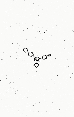 Brc1ccc(-c2cc(-c3ccc(C4C=CC=CC4)cc3)nc(-c3ccccc3)n2)cc1